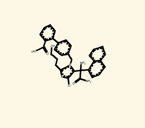 CCCCc1nc(Cl)c(C(N)(C(N)=O)c2cccc3ccccc23)n1Cc1ccc(-c2ccccc2C(=O)O)cc1